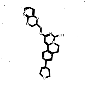 OC1N=C(OCC2COc3ncccc3O2)C=C2c3ccc(C4=CCOCC4)cc3CCN21